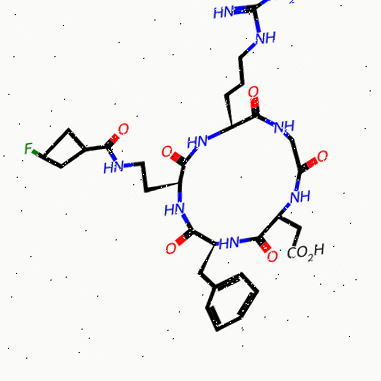 N=C(N)NCCC[C@@H]1NC(=O)[C@H](CCNC(=O)C2CC(F)C2)NC(=O)[C@H](Cc2ccccc2)NC(=O)C(CC(=O)O)NC(=O)CNC1=O